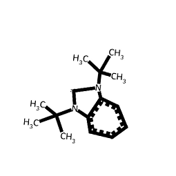 CC(C)(C)N1[C]N(C(C)(C)C)c2ccccc21